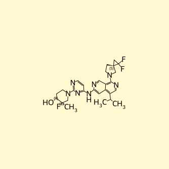 CC(C)c1cnc(N2CC[C@@]3(C2)CC3(F)F)c2cnc(Nc3ccnc(N4CC[C@@H](O)[C@@](C)(F)C4)n3)cc12